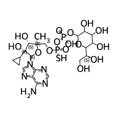 C[C@]1(COP(=O)(S)OP(=O)(O)OC2OC([C@@H](O)CO)C(O)C(O)C2O)O[C@@H](n2cnc3c(N)ncnc32)[C@@](O)(C2CC2)[C@@H]1O